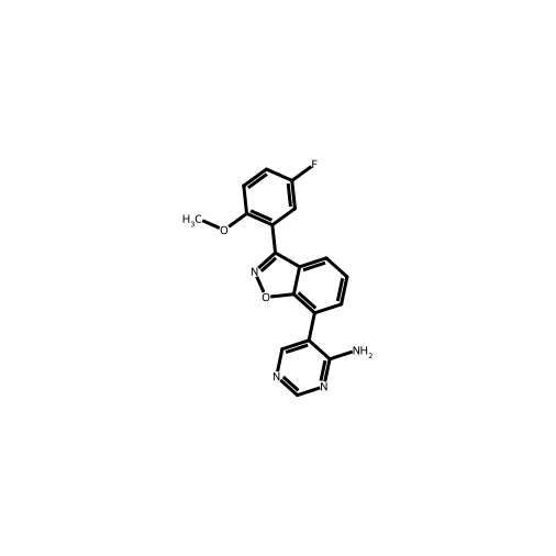 COc1ccc(F)cc1-c1noc2c(-c3cncnc3N)cccc12